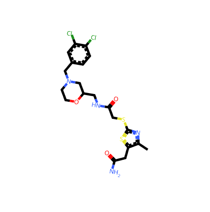 Cc1nc(SCC(=O)NCC2CN(Cc3ccc(Cl)c(Cl)c3)CCO2)sc1CC(N)=O